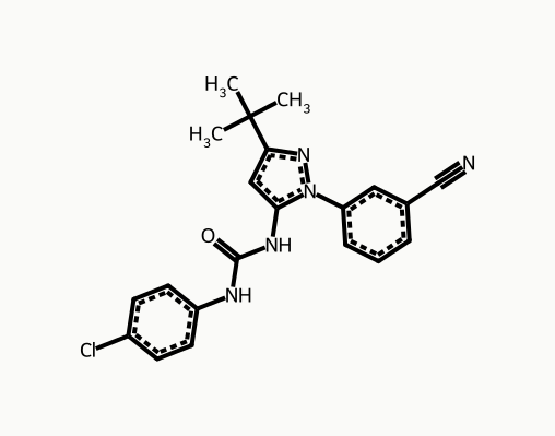 CC(C)(C)c1cc(NC(=O)Nc2ccc(Cl)cc2)n(-c2cccc(C#N)c2)n1